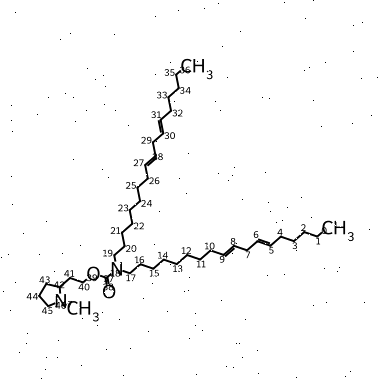 CCCCCC=CCC=CCCCCCCCCN(CCCCCCCCC=CCC=CCCCCC)C(=O)OCCC1CCCN1C